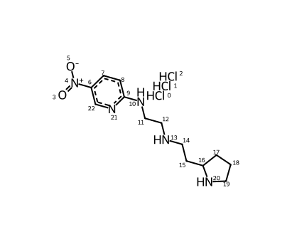 Cl.Cl.Cl.O=[N+]([O-])c1ccc(NCCNCCC2CCCN2)nc1